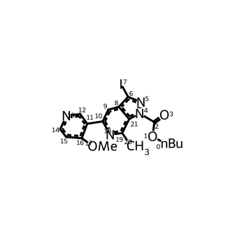 CCCCOC(=O)n1nc(I)c2cc(-c3cnccc3OC)nc(C)c21